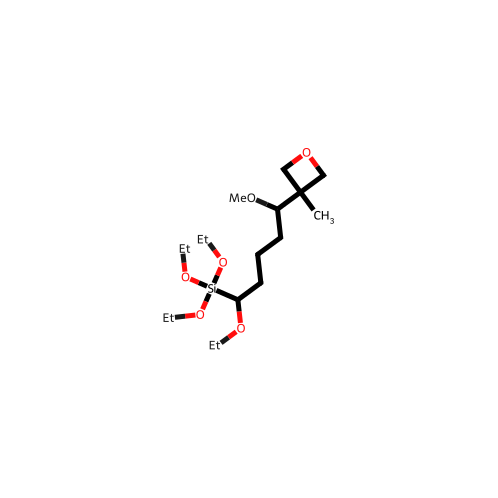 CCOC(CCCC(OC)C1(C)COC1)[Si](OCC)(OCC)OCC